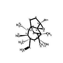 C=C[C@]1(C)C[C@@H](O)[C@@]2(C)C(C)CCC3(CC[C@H]4O[C@]432)[C@@H](C)[C@@H]1O